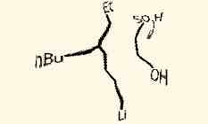 O=S(=O)(O)O.[Li][CH2]C(CC)CCCC